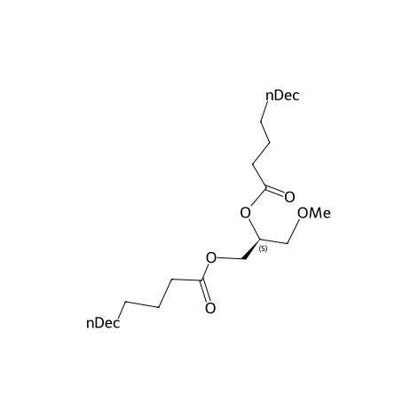 CCCCCCCCCCCCCC(=O)OC[C@H](COC)OC(=O)CCCCCCCCCCCCC